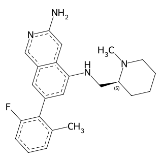 Cc1cccc(F)c1-c1cc(NC[C@@H]2CCCCN2C)c2cc(N)ncc2c1